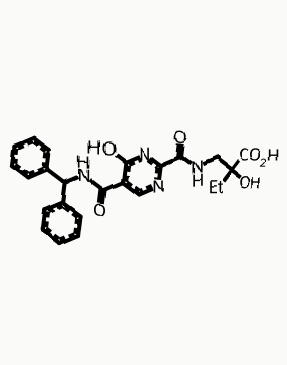 CCC(O)(CNC(=O)c1ncc(C(=O)NC(c2ccccc2)c2ccccc2)c(O)n1)C(=O)O